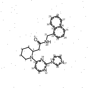 O=C(CC1CCCCN1c1ccnc(-n2ccnc2)n1)NCc1cccc2ccccc12